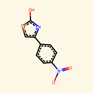 O=[N+]([O-])c1ccc(-c2csc(O)n2)cc1